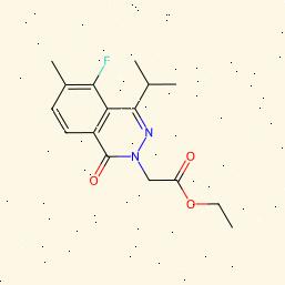 CCOC(=O)Cn1nc(C(C)C)c2c(F)c(C)ccc2c1=O